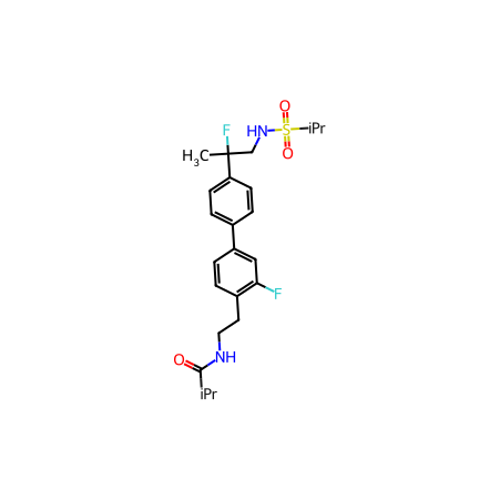 CC(C)C(=O)NCCc1ccc(-c2ccc(C(C)(F)CNS(=O)(=O)C(C)C)cc2)cc1F